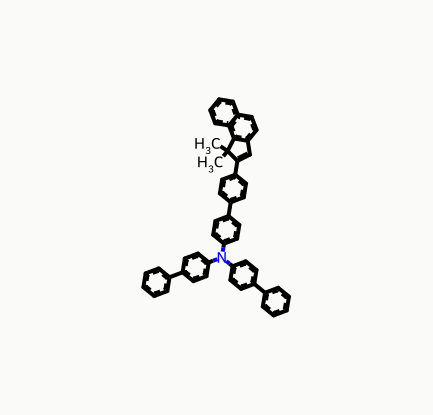 CC1(C)C(c2ccc(-c3ccc(N(c4ccc(-c5ccccc5)cc4)c4ccc(-c5ccccc5)cc4)cc3)cc2)=Cc2ccc3ccccc3c21